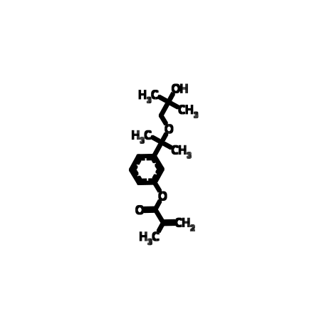 C=C(C)C(=O)Oc1cccc(C(C)(C)OCC(C)(C)O)c1